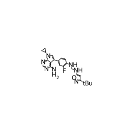 CC(C)(C)c1cc(NCNc2ccc(-c3cn(C4CC4)c4ncnc(N)c34)cc2F)on1